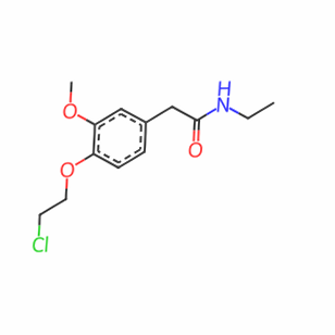 CCNC(=O)Cc1ccc(OCCCl)c(OC)c1